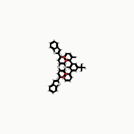 Cc1ccccc1-c1cc(C(C)(C)C)cc(-c2ccccc2C)c1N1c2ccc(-c3cc4ccccc4o3)cc2Oc2cc(-c3cc4ccccc4o3)ccc21